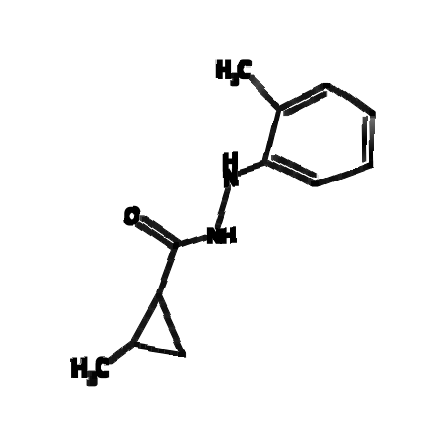 Cc1ccccc1NNC(=O)C1CC1C